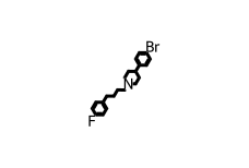 Fc1ccc(CCCCN2CCC(c3ccc(Br)cc3)CC2)cc1